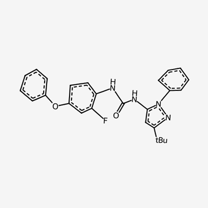 CC(C)(C)c1cc(NC(=O)Nc2ccc(Oc3ccccc3)cc2F)n(-c2ccccc2)n1